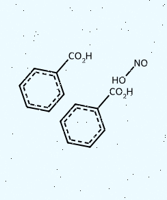 O=C(O)c1ccccc1.O=C(O)c1ccccc1.O=NO